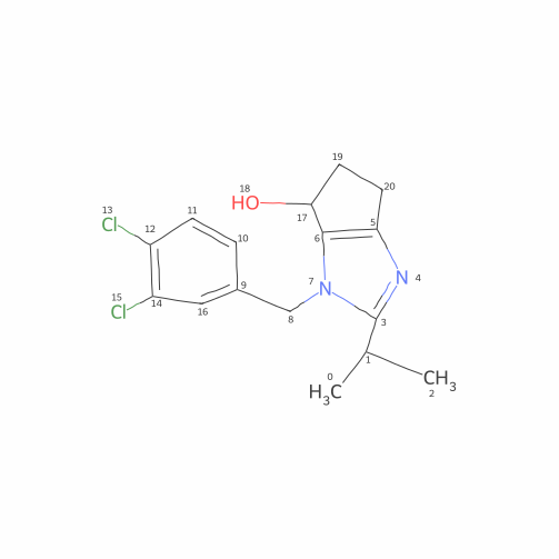 CC(C)c1nc2c(n1Cc1ccc(Cl)c(Cl)c1)C(O)CC2